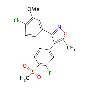 COc1cc(-c2noc(C(F)(F)F)c2-c2ccc(S(C)(=O)=O)c(F)c2)ccc1Cl